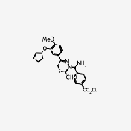 CCOC(=O)c1ccc(C(N)N2N=C(c3ccc(OC)c(OC4CCCC4)c3)CSC2C=O)cc1